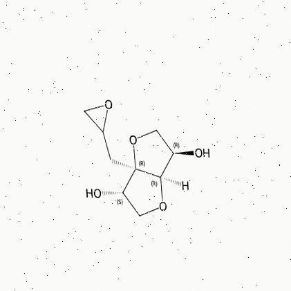 O[C@@H]1CO[C@@]2(CC3CO3)[C@@H]1OC[C@@H]2O